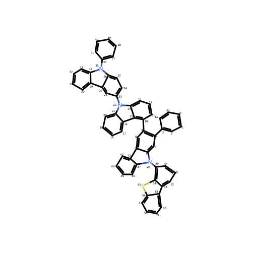 c1ccc(-c2cc3c(cc2-c2cccc4c2c2ccccc2n4-c2ccc4c(c2)c2ccccc2n4-c2ccccc2)c2ccccc2n3-c2cccc3c2sc2ccccc23)cc1